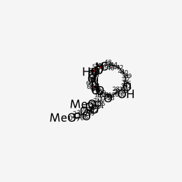 COc1ccc(C2OCC(C)(C(=O)O[C@@H]3CC[C@@H](C[C@@H](C)[C@@H]4CC(=O)[C@H](C)/C=C(\C)[C@@H](O)[C@@H](C)C(=O)[C@H](C)C[C@H](C)/C=C/C=C/C=C(\C)[C@@H](C)C[C@@H]5CC[C@@H](C)[C@@](O)(O5)C(=O)C(=O)N5CCCC[C@H]5C(=O)O4)C[C@H]3OC)CO2)cc1